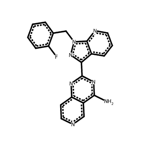 Nc1nc(-c2nn(Cc3ccccc3F)c3ncccc23)nc2ccncc12